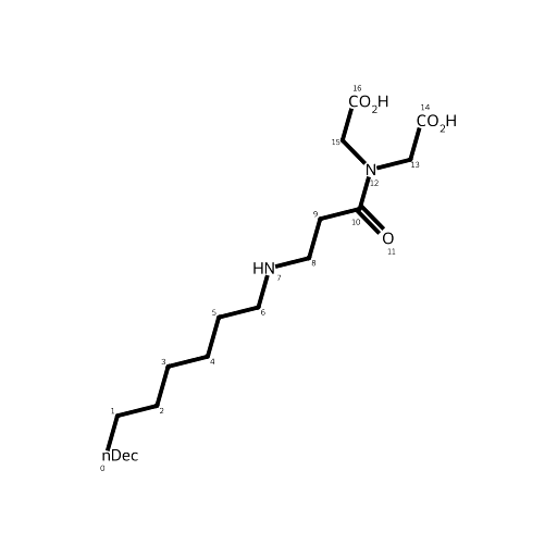 CCCCCCCCCCCCCCCCNCCC(=O)N(CC(=O)O)CC(=O)O